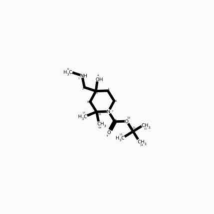 CNCC1(O)CCN(C(=O)OC(C)(C)C)C(C)(C)C1